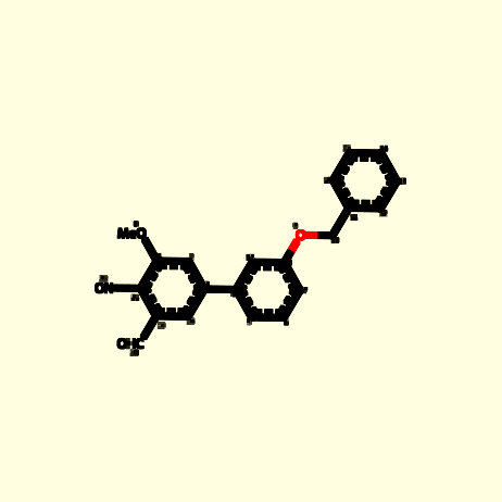 COc1cc(-c2cccc(OCc3ccccc3)c2)cc(C=O)c1N=O